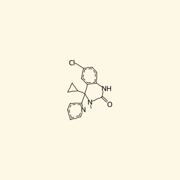 CN1C(=O)Nc2ccc(Cl)cc2C1(c1ccccn1)C1CC1